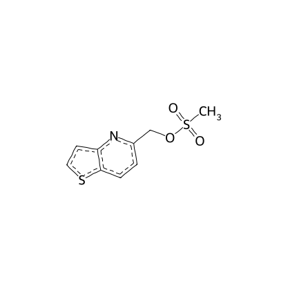 CS(=O)(=O)OCc1ccc2sccc2n1